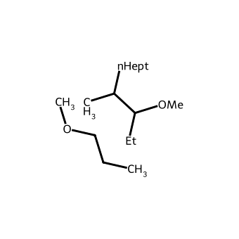 CCCCCCCC(C)C(CC)OC.CCCOC